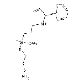 C=CC(NCCC[Si](C)(OC)OCCCN)c1ccccc1